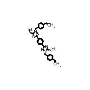 C=Cc1ccc(Cn2nc(-c3ccc(-c4nc(SCC)n(Cc5ccc(C=C)cc5)n4)cc3)nc2SCC)cc1